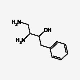 NCC(N)C(O)Cc1ccccc1